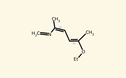 C=N/C(C)=C\C=C(/C)OCC